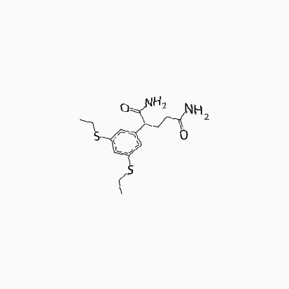 CCSc1cc(SCC)cc(C(CCC(N)=O)C(N)=O)c1